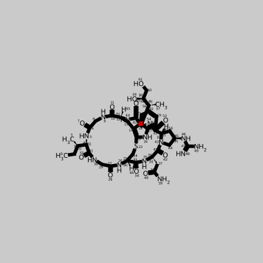 CC[C@H](C)[C@@H]1NC(=O)CNC(=O)[C@@H]2Cc3c([nH]c4ccccc34)SC[C@H](NC(=O)CNC1=O)C(=O)N[C@@H](CC(N)=O)C(=O)N1C[C@H](NC(=N)N)C[C@H]1C(=O)N[C@@H]([C@@H](C)[C@@H](O)CO)C(=O)N2